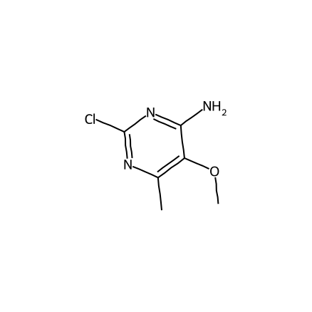 COc1c(C)nc(Cl)nc1N